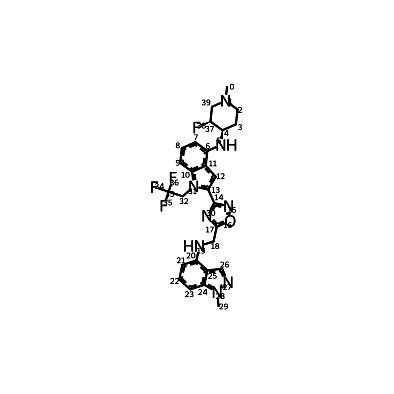 CN1CC[C@@H](Nc2cccc3c2cc(-c2noc(CNc4cccc5c4cnn5C)n2)n3CC(F)(F)F)[C@@H](F)C1